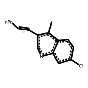 CCC/C=C/c1cnc2cc(Cl)ccc2c1C